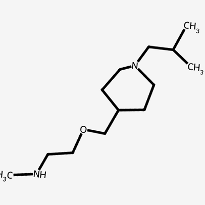 CNCCOCC1CCN(CC(C)C)CC1